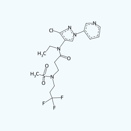 CCN(C(=O)CCN(CCC(F)(F)F)S(C)(=O)=O)c1cn(-c2cccnc2)nc1Cl